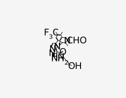 Cc1c(CN(C=O)C(C)C2CC2)cc(-c2ccn3nc(N)c(C(=O)NCCCCO)c3n2)cc1C(F)(F)F